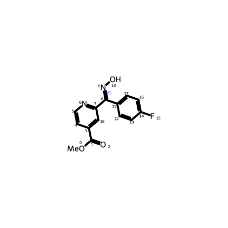 COC(=O)c1ccnc(/C(=N/O)c2ccc(F)cc2)c1